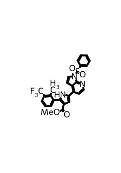 COC(=O)c1cc(-c2ccnc3c2ccn3S(=O)(=O)c2ccccc2)[nH]c1-c1cccc(C(F)(F)F)c1C